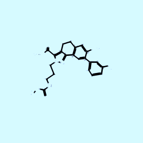 COC(=O)c1c2c(nn1CCCNC(=O)OC(C)(C)C)-c1cc(-c3cccc(C(F)(F)F)c3)c(OC)cc1CC2